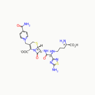 NC(=O)c1cc[n+](CC2=C(C(=O)[O-])N3C(=O)[C@@H](NC(=O)[C@@H](NCCC[C@@H](N)C(=O)O)c4nsc(N)n4)[C@H]3SC2)cc1